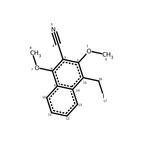 COc1c(C#N)c(OC)c2ccccc2c1CI